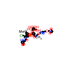 COc1ccc2c(OS(=O)(=O)Oc3cc(C(=O)N(C)CCOCCn4cc(CCOCCN5C(=O)C=CC5=O)nn4)ccc3O[C@@H]3O[C@H](CO)[C@H](O)[C@H](O)[C@H]3O)cc3c(c2c1)[C@H](CCl)CN3C(=O)c1cc2c3c(ccc2[nH]1)OCO3